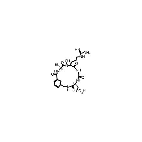 CC[C@H]1NC(=O)c2cccc(c2)CNC(=O)[C@H](CC(=O)O)NC(=O)CNC(=O)C(CCCNC(=N)N)N(C)C1=O